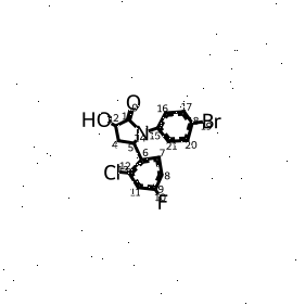 O=C1C(O)CC(c2ccc(F)cc2Cl)N1c1ccc(Br)cc1